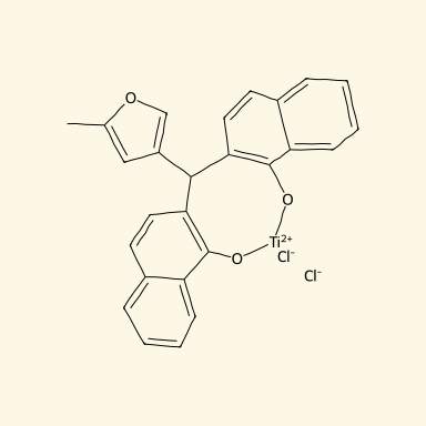 Cc1cc(C2c3ccc4ccccc4c3[O][Ti+2][O]c3c2ccc2ccccc32)co1.[Cl-].[Cl-]